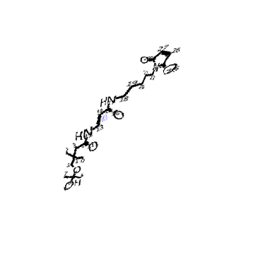 CC(C)(COC(C)(C)O)CC(=O)N/C=C/C(=O)NCCCCCN1C(=O)C=CC1=O